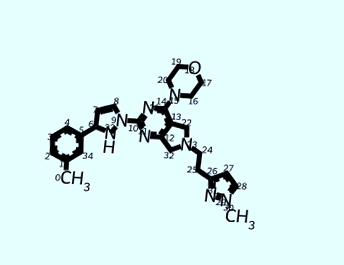 Cc1cccc(C2C=CN(c3nc4c(c(N5CCOCC5)n3)CN(CCc3ccn(C)n3)C4)N2)c1